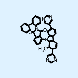 CC1c2c(c3ccc(-c4cncnc4)cc3n2-c2cccc3c2C(=O)N(c2ccccc2-c2ccccc2)C3=O)C=CC1c1cncnc1